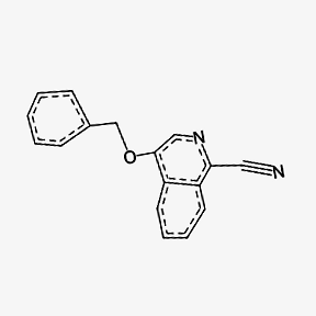 N#Cc1ncc(OCc2ccccc2)c2ccccc12